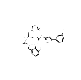 CN(C(=O)NCc1cccc(F)c1Cl)[C@H](COC(=O)Nc1cc(-c2cccc(Cl)c2)on1)C[C@@H]1COC(C)(C)O1